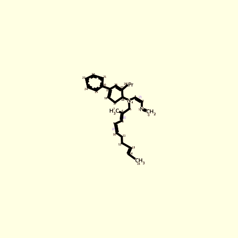 C=N/C=C\N(C/C(C)=C/C=C\CCC=CC)C1CC=C(c2ccccc2)C=C1C(C)C